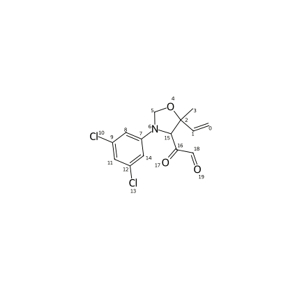 C=CC1(C)OCN(c2cc(Cl)cc(Cl)c2)C1C(=O)C=O